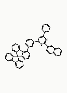 c1ccc(-c2cc(-c3cccc(-c4cccc5c4-c4ccccc4C54c5ccccc5-c5ccccc54)c3)nc(-c3ccc4ccccc4c3)n2)cc1